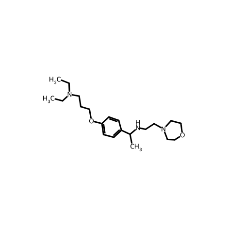 CCN(CC)CCCOc1ccc(C(C)NCCN2CCOCC2)cc1